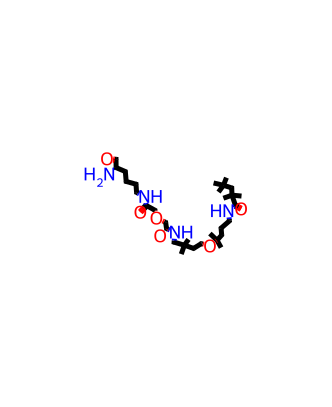 CC(C)(C)CC(C)(C)C(=O)NCCCC(C)(C)OCCC(C)(C)CNC(=O)COCC(=O)NCCCC[C@H](N)C=O